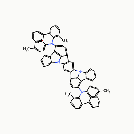 Cc1ccc(N(c2c(C)cccc2-c2ccccc2)c2ccc3c4cc5c(cc4n4c6ccccc6c2c34)c2ccc(N(c3ccc(C)cc3)c3c(C)cccc3-c3ccccc3)c3c4ccccc4n5c23)cc1